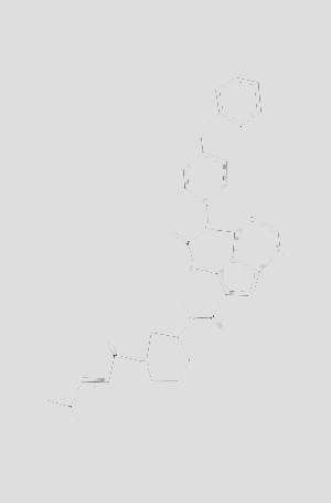 Cc1cc(Oc2ccccc2)ccc1N1C(=O)Nc2c(C(=O)N(C)C3CCCN(C(=O)/C=C/C(C)C)C3)sc3nccc1c23